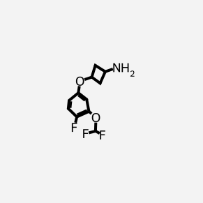 NC1CC(Oc2ccc(F)c(OC(F)F)c2)C1